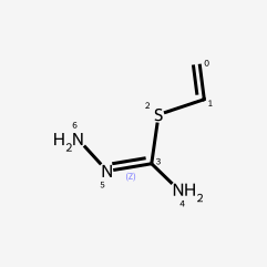 C=CS/C(N)=N\N